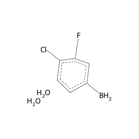 Bc1ccc(Cl)c(F)c1.O.O